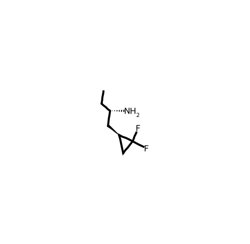 CC[C@H](N)C[C@@H]1CC1(F)F